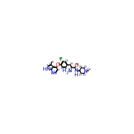 Cc1c[nH]c2nccc(Oc3ccc(C[C@H](N)C(=O)NC4CCN(C)CC4)cc3F)c12